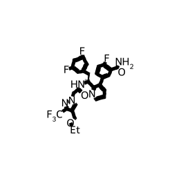 CCOCc1cn(CC(=O)N[C@@H](Cc2cc(F)cc(F)c2)c2ncccc2-c2ccc(F)c(C(N)=O)c2)nc1C(F)(F)F